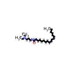 CCCCC/C=C\C/C=C\CCCCCCCC(=O)NCCCN(CC)CC